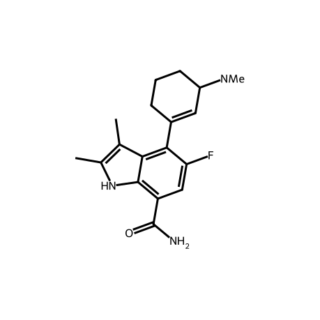 CNC1C=C(c2c(F)cc(C(N)=O)c3[nH]c(C)c(C)c23)CCC1